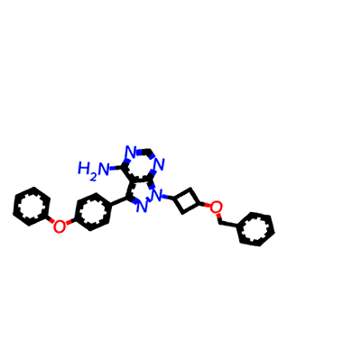 Nc1ncnc2c1c(-c1ccc(Oc3ccccc3)cc1)nn2C1CC(OCc2ccccc2)C1